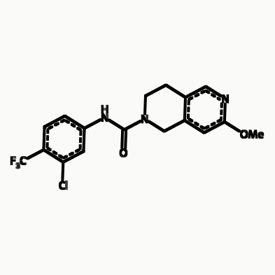 COc1cc2c(cn1)CCN(C(=O)Nc1ccc(C(F)(F)F)c(Cl)c1)C2